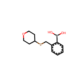 OB(O)c1ccccc1CSC1CCOCC1